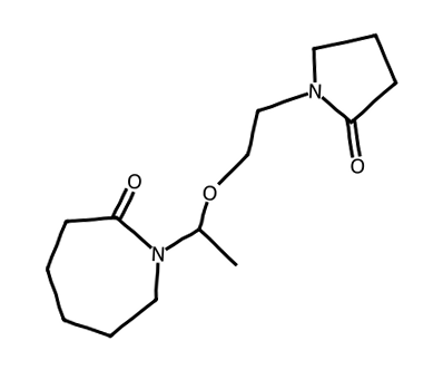 CC(OCCN1CCCC1=O)N1CCCCCC1=O